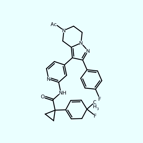 CC(=O)N1CCn2nc(-c3ccc(F)cc3)c(-c3ccnc(NC(=O)C4(C5=CCC(C)(F)C=C5)CC4)c3)c2C1